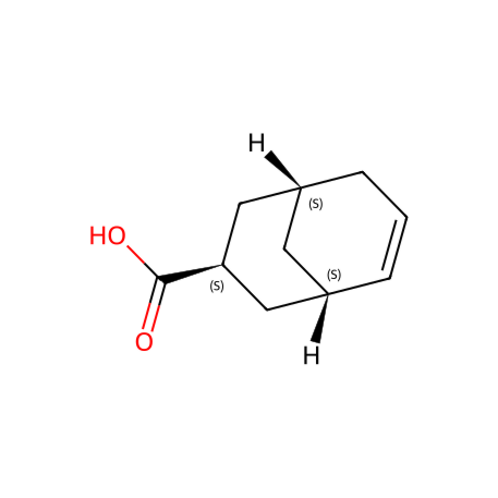 O=C(O)[C@@H]1C[C@H]2C=CC[C@H](C2)C1